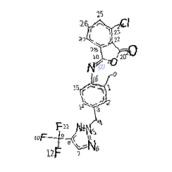 Cc1cc(Cn2ncc(C(F)(F)F)n2)ccc1/N=C1\OC(=O)c2c(Cl)cccc21